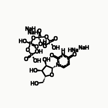 O=P(O)(O)OP(=O)(O)OP(=O)(O)OP(=O)(O)O.O=c1ccn([C@@H]2O[C@H](CO)[C@@H](O)[C@H]2O)c(=O)[nH]1.[NaH].[NaH].[NaH].[NaH]